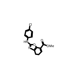 COC(=O)C1=CCCc2nc(Nc3ccc(Cl)cc3)oc21